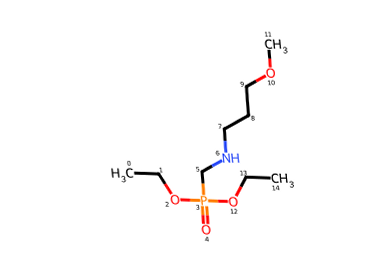 CCOP(=O)(CNCCCOC)OCC